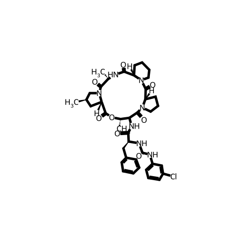 C[C@@H]1C[C@H]2C(=O)O[C@@H](C)C(NC(=O)[C@H](Cc3ccccc3)NC(=O)Nc3cccc(Cl)c3)C(=O)N3CCC[C@H]3C(=O)N3CCCC[C@H]3C(=O)N[C@@H](C)C(=O)N2C1